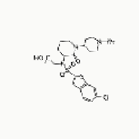 CC(C)N1CCC(N2CCC[C@H](N(CC(=O)O)S(=O)(=O)c3cc4ccc(Cl)cc4s3)C2=O)CC1